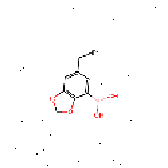 CC(C)Cc1cc2c(c(B(O)O)c1)OCO2